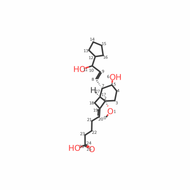 CO[C@@]12CC[C@H](O)[C@@H](/C=C/C(O)C3CCCC3)[C@@H]1CC2=CCCCC(=O)O